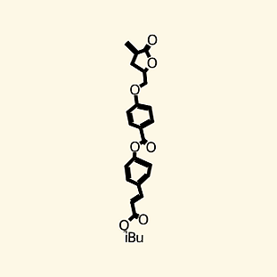 C=C1CC(COc2ccc(C(=O)Oc3ccc(/C=C/C(=O)OC(C)CC)cc3)cc2)OC1=O